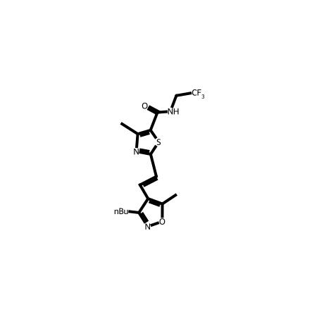 CCCCc1noc(C)c1/C=C/c1nc(C)c(C(=O)NCC(F)(F)F)s1